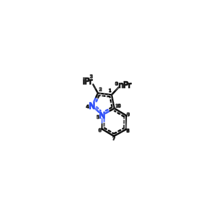 CCCc1c(C(C)C)nn2ccccc12